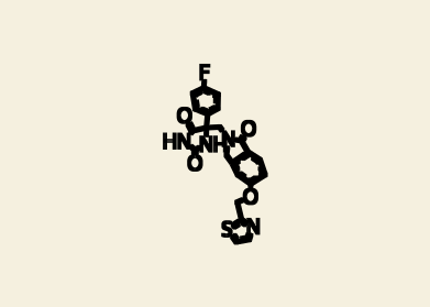 O=C1NC(=O)C(CN2Cc3cc(OCc4nccs4)ccc3C2=O)(c2ccc(F)cc2)N1